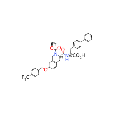 CC(C)OC(=O)N1Cc2cc(OCc3ccc(C(F)(F)F)cc3)ccc2C[C@H]1C(=O)N[C@@H](Cc1ccc(-c2ccccc2)cc1)C(=O)O